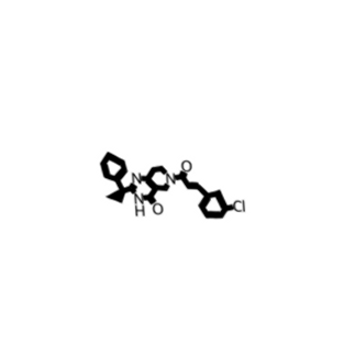 O=C(C=Cc1cccc(Cl)c1)N1CCc2nc(C3(c4ccccc4)CC3)[nH]c(=O)c2C1